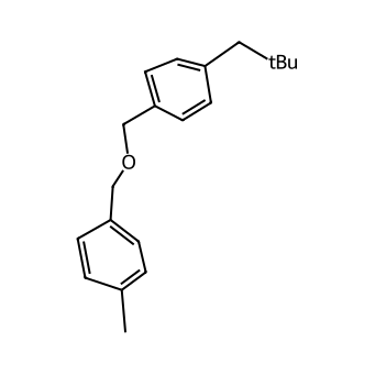 Cc1ccc(COCc2ccc(CC(C)(C)C)cc2)cc1